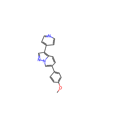 COc1ccc(-c2ccc3c(-c4ccncc4)cnn3c2)cc1